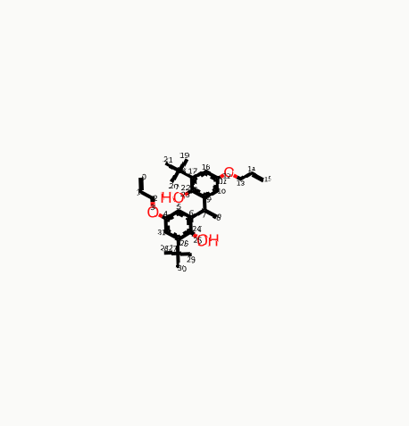 C=CCOc1cc(C(C)c2cc(OCC=C)cc(C(C)(C)C)c2O)c(O)c(C(C)(C)C)c1